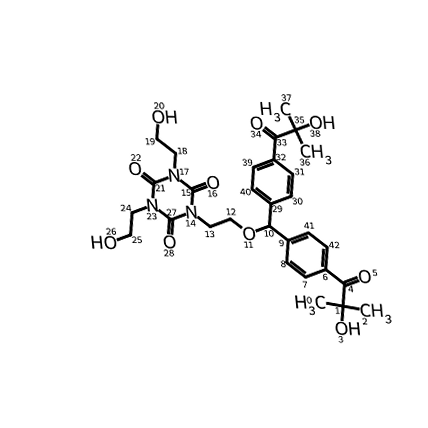 CC(C)(O)C(=O)c1ccc(C(OCCn2c(=O)n(CCO)c(=O)n(CCO)c2=O)c2ccc(C(=O)C(C)(C)O)cc2)cc1